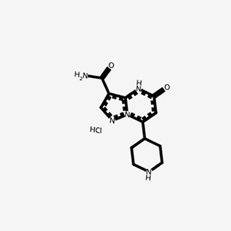 Cl.NC(=O)c1cnn2c(C3CCNCC3)cc(=O)[nH]c12